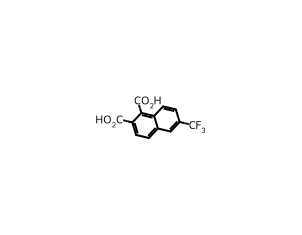 O=C(O)c1ccc2cc(C(F)(F)F)ccc2c1C(=O)O